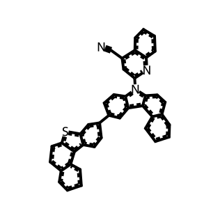 N#Cc1cc(-n2c3ccc(-c4ccc5c(c4)sc4ccc6ccccc6c45)cc3c3c4ccccc4ccc32)nc2ccccc12